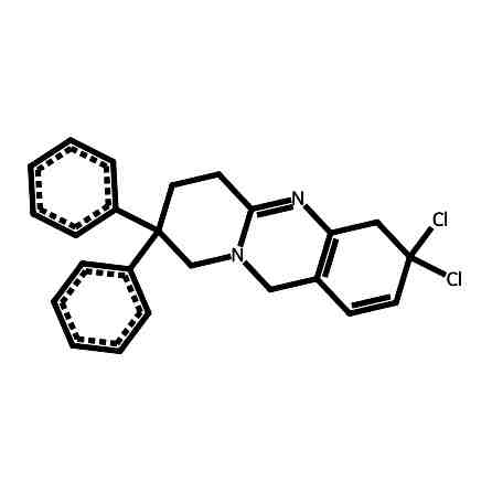 ClC1(Cl)C=CC2=C(C1)N=C1CCC(c3ccccc3)(c3ccccc3)CN1C2